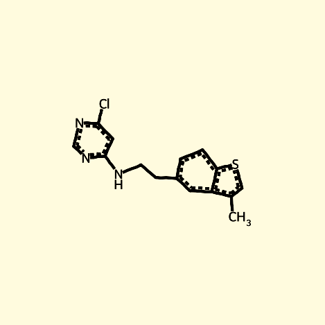 Cc1csc2ccc(CCNc3cc(Cl)ncn3)cc12